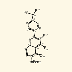 CCCCCn1ccc2cc(-c3ncc(C(F)F)cn3)c(F)c(F)c2c1=O